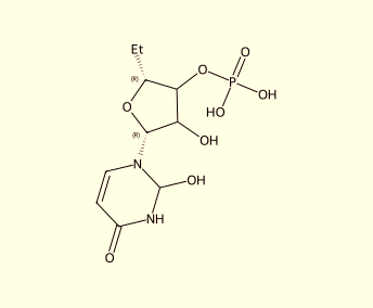 CC[C@H]1O[C@@H](N2C=CC(=O)NC2O)C(O)C1OP(=O)(O)O